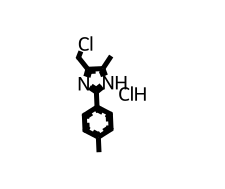 Cc1ccc(-c2nc(CCl)c(C)[nH]2)cc1.Cl